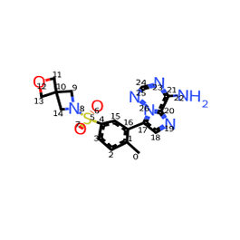 Cc1ccc(S(=O)(=O)N2CC3(COC3)C2)cc1-c1cnc2c(N)ncnn12